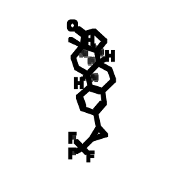 C[C@]12CC[C@@H]3c4ccc(C5CC5C(F)(F)F)cc4CC[C@H]3[C@@H]1CCC2=O